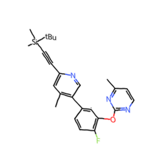 Cc1ccnc(Oc2[c]c(-c3cnc(C#C[Si](C)(C)C(C)(C)C)cc3C)ccc2F)n1